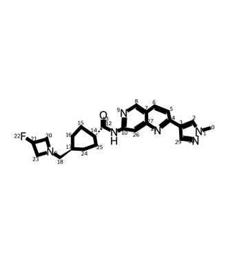 Cn1cc(-c2ccc3cnc(NC(=O)[C@H]4CC[C@H](CN5CC(F)C5)CC4)cc3n2)cn1